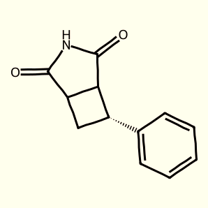 O=C1NC(=O)C2C1C[C@H]2c1ccccc1